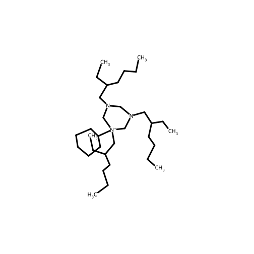 CCCCC(CC)CN1CN(CC(CC)CCCC)C[N+](CC(CC)CCCC)(C2CCCCC2)C1